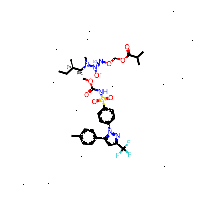 CC[C@@H](C)[C@@H](COC(=O)NS(=O)(=O)c1ccc(-n2nc(C(F)(F)F)cc2-c2ccc(C)cc2)cc1)N(C)/[N+]([O-])=N/OCOC(=O)C(C)C